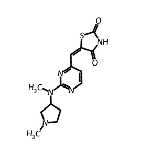 CN1CCC(N(C)c2nccc(C=C3SC(=O)NC3=O)n2)C1